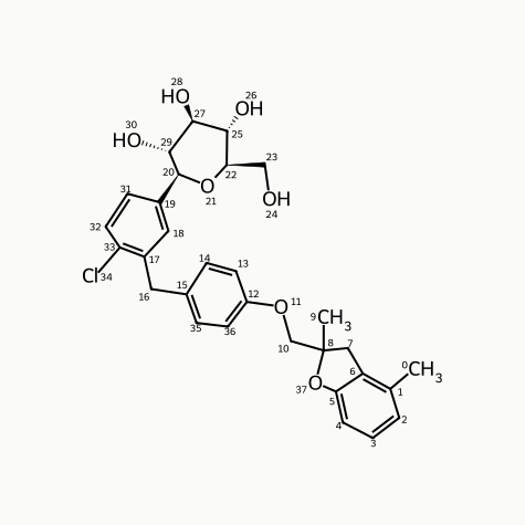 Cc1cccc2c1CC(C)(COc1ccc(Cc3cc([C@@H]4O[C@H](CO)[C@@H](O)[C@H](O)[C@H]4O)ccc3Cl)cc1)O2